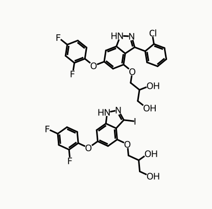 OCC(O)COc1cc(Oc2ccc(F)cc2F)cc2[nH]nc(-c3ccccc3Cl)c12.OCC(O)COc1cc(Oc2ccc(F)cc2F)cc2[nH]nc(I)c12